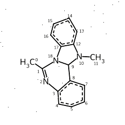 CC1=Nc2ccccc2C2N(C)c3ccccc3N12